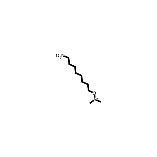 C[S+](C)OCCCCCCCC[N+](=O)[O-]